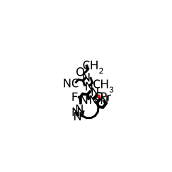 C=CC(=O)N1CC(C)N(c2nc(=O)n3c4nc(c(F)cc24)-n2cc(nn2)CCCCc2ccnc(C(C)C)c2-3)CC1CC#N